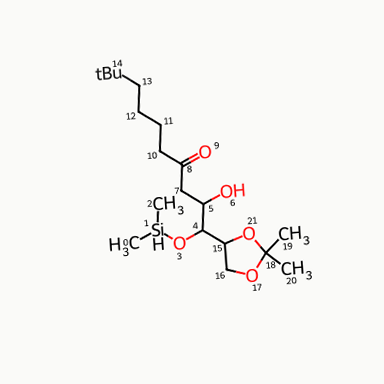 C[SiH](C)OC(C(O)CC(=O)CCCCC(C)(C)C)C1COC(C)(C)O1